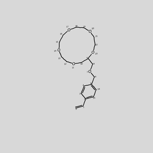 C=Cc1ccc(COCC2COCCOCCOCCOCCO2)cc1